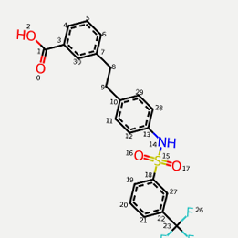 O=C(O)c1cccc(CCc2ccc(NS(=O)(=O)c3cccc(C(F)(F)F)c3)cc2)c1